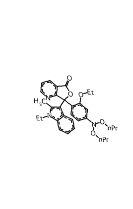 CCCON(OCCC)c1ccc(C2(c3c(C)n(CC)c4ccccc34)OC(=O)c3cccnc32)c(OCC)c1